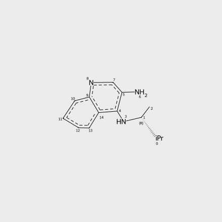 CC(C)[C@@H](C)Nc1c(N)cnc2ccccc12